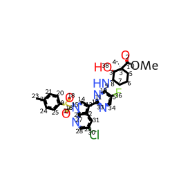 COC(=O)[C@@]1(C)CCC[C@H](Nc2nc(-c3cn(S(=O)(=O)c4ccc(C)cc4)c4ncc(Cl)cc34)ncc2F)[C@H]1O